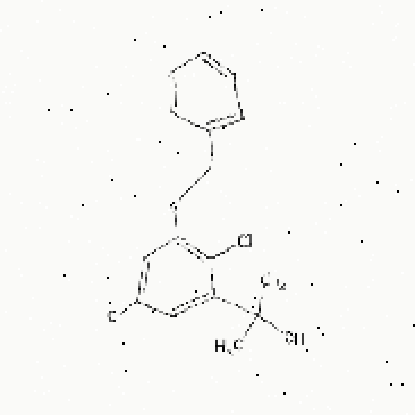 CC(C)(O)c1cc(Cl)cc(SCc2ccccc2)c1Cl